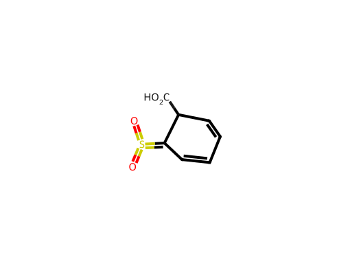 O=C(O)C1C=CC=CC1=S(=O)=O